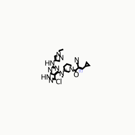 CCn1cc(Nc2nc(N(C)[C@@H]3CCCN(C(=O)/C(C#N)=C/C4CC4)C3)c3c(Cl)n[nH]c3n2)cn1